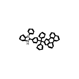 c1ccc(N2c3ccccc3NC2c2ccc(C(c3ccccc3)(c3ccccc3)c3cc4cccc5c6cccc7cccc(c(c3)c45)c76)cc2)cc1